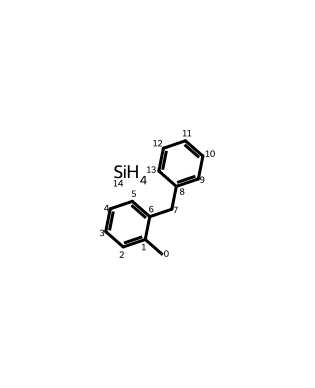 Cc1ccccc1Cc1ccccc1.[SiH4]